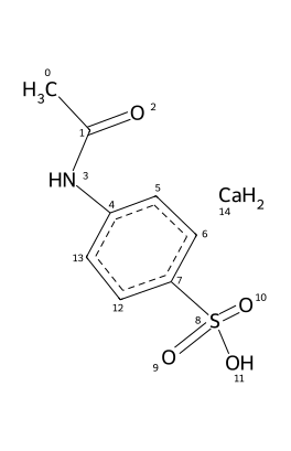 CC(=O)Nc1ccc(S(=O)(=O)O)cc1.[CaH2]